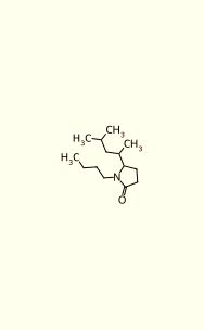 CCCCN1C(=O)CCC1C(C)CC(C)C